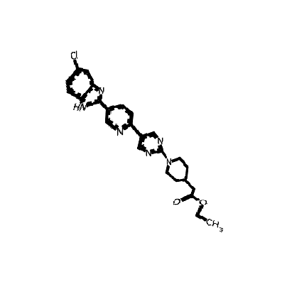 CCOC(=O)CC1CCN(c2ncc(-c3ccc(-c4nc5cc(Cl)ccc5[nH]4)cn3)cn2)CC1